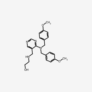 COc1ccc(CN(Cc2ccc(OC)cc2)c2ncncc2CNCCO)cc1